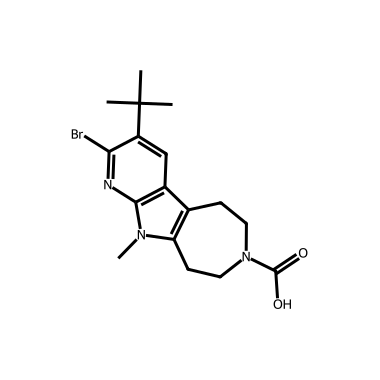 Cn1c2c(c3cc(C(C)(C)C)c(Br)nc31)CCN(C(=O)O)CC2